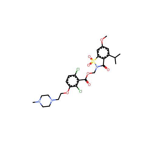 COc1cc(C(C)C)c2c(c1)S(=O)(=O)N(COC(=O)c1c(Cl)ccc(OCCN3CCN(C)CC3)c1Cl)C2=O